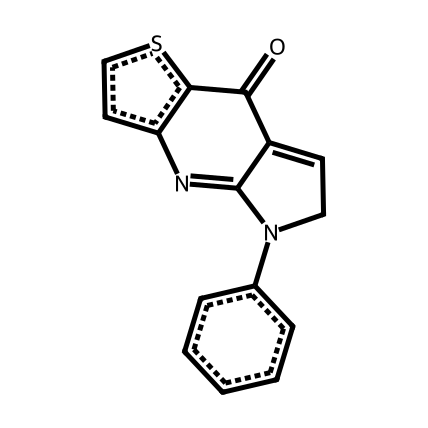 O=C1C2=CCN(c3ccccc3)C2=Nc2ccsc21